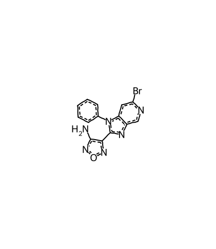 Nc1nonc1-c1nc2cnc(Br)cc2n1-c1ccccc1